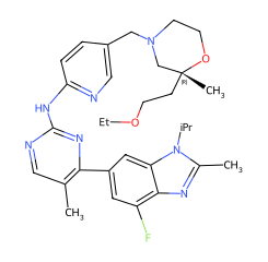 CCOCC[C@]1(C)CN(Cc2ccc(Nc3ncc(C)c(-c4cc(F)c5nc(C)n(C(C)C)c5c4)n3)nc2)CCO1